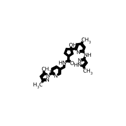 Cc1cc(Nc2cc(C)[nH]n2)nc(C2(O)CCC(C(=O)NCc3ccc(-n4nc(C)cc4C)nc3)C2)c1